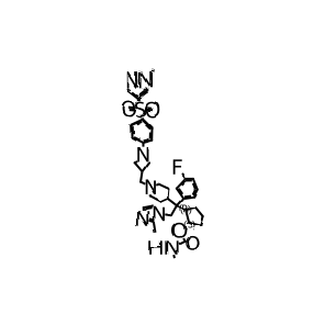 CNC(=O)O[C@H]1CCC[C@@H]1C(Cn1ccnc1C)(c1cccc(F)c1)C1CCN(CC2CN(c3ccc(S(=O)(=O)c4cnn(C)c4)cc3)C2)CC1